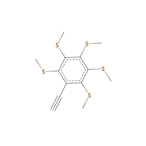 [C]#Cc1c(SC)c(SC)c(SC)c(SC)c1SC